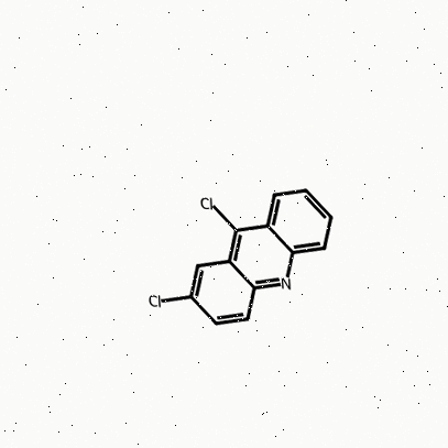 Clc1ccc2nc3ccccc3c(Cl)c2c1